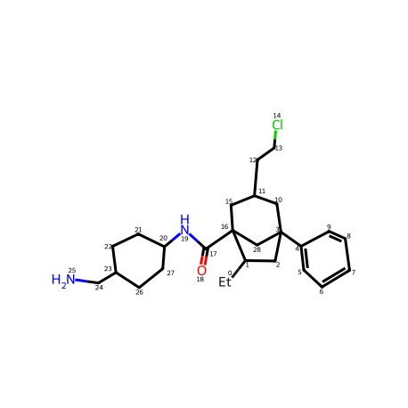 CCC1CC2(c3ccccc3)CC(CCCl)CC1(C(=O)NC1CCC(CN)CC1)C2